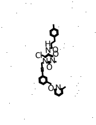 Cc1ccc(CCC(=O)Nc2c(Cl)n(CC#Cc3cccc(COc4cccc(C)n4)c3)c(=O)n(C)c2=O)cc1